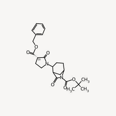 CC(C)(C)OC(=O)N1C(=O)C2CC1CCC2N1CC[C@H](C(=O)OCc2ccccc2)C1=O